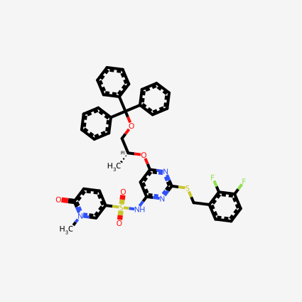 C[C@H](COC(c1ccccc1)(c1ccccc1)c1ccccc1)Oc1cc(NS(=O)(=O)c2ccc(=O)n(C)c2)nc(SCc2cccc(F)c2F)n1